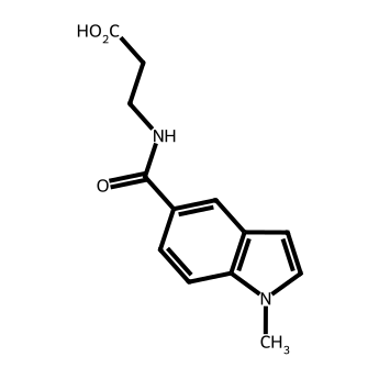 Cn1ccc2cc(C(=O)NCCC(=O)O)ccc21